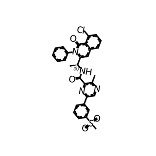 Cc1ncc(-c2cccc(S(C)(=O)=O)c2)nc1C(=O)N[C@@H](C)c1cc2cccc(Cl)c2c(=O)n1-c1ccccc1